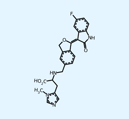 Cn1cncc1CC(NCc1ccc2c(c1)COC2=C1C(=O)Nc2ccc(F)cc21)C(=O)O